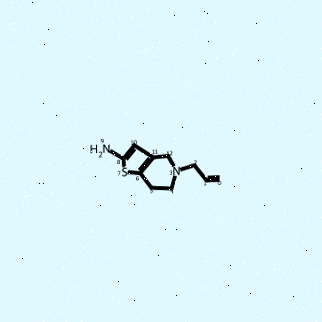 C=CCN1CCc2sc(N)cc2C1